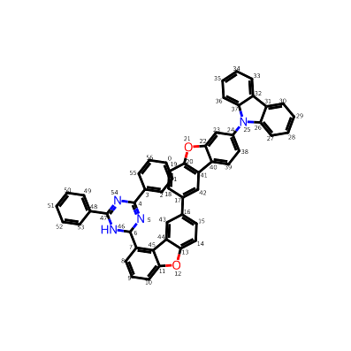 c1ccc(C2=NC(c3cccc4oc5ccc(-c6ccc7oc8cc(-n9c%10ccccc%10c%10ccccc%109)ccc8c7c6)cc5c34)NC(c3ccccc3)=N2)cc1